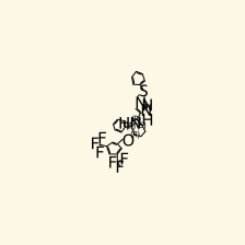 FC(F)(F)c1cc(CO[C@@H]2CC[C@@H]3N[C@@]2(c2ccccc2)C[C@H]3c2cn(CSc3ccccc3)nn2)cc(C(F)(F)F)c1